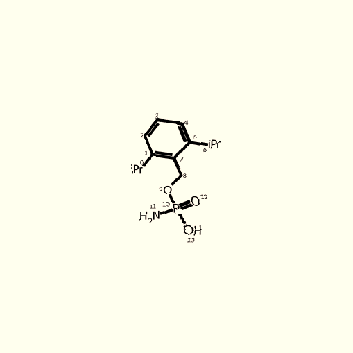 CC(C)c1cccc(C(C)C)c1COP(N)(=O)O